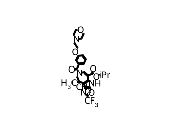 CC(C)OC(=O)C1=CN(C(=O)c2cccc(OCCN3CCOCC3)c2)CC(C)(C)c2c1[nH]c1oc(C(F)(F)F)nc21